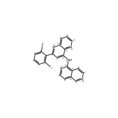 Fc1cccc(F)c1-c1cc(Nc2nccc3cnccc23)c2ncccc2n1